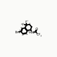 O=C(NC1CCC(F)(F)c2cc(Br)ccc21)C(F)(F)F